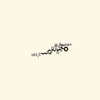 CCCCCCN(C)c1sc(C(=O)NCC(=O)N2CCN(CCCCC(=O)O)CC2)nc1-c1ccccc1